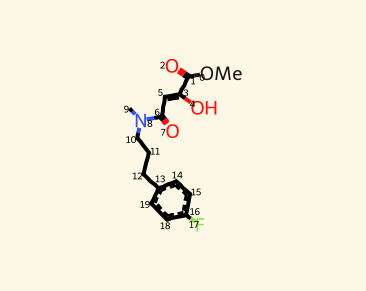 COC(=O)C(O)=CC(=O)N(C)CCCc1ccc(F)cc1